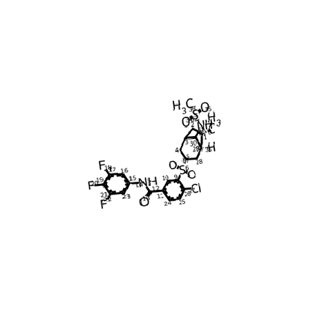 C[C@H]1CC2C[C@@H](S(=O)(=O)c3cc(C(=O)Nc4cc(F)c(F)c(F)c4)ccc3Cl)C[C@H]1C2NS(C)(=O)=O